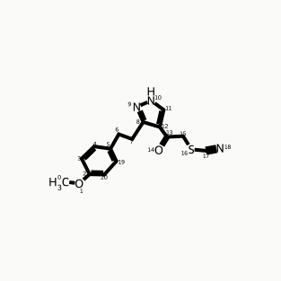 COc1ccc(CCc2n[nH]cc2C(=O)CSC#N)cc1